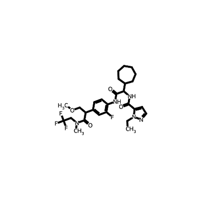 CCn1nccc1C(=O)NC(C(=O)Nc1ccc(C(COC)C(=O)N(C)CC(F)(F)F)cc1F)C1CCCCCC1